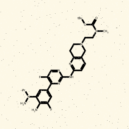 CC(C)N(N)c1cc(-c2nc(Nc3ccc4c(n3)CCN(CCN(C)C(=O)OC(C)(C)C)C4)ncc2F)cc(F)c1N